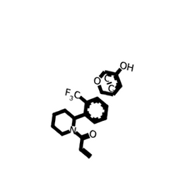 C=CC(=O)N1CCCCC1c1ccccc1C(F)(F)F.Oc1cc2ccc1OC2